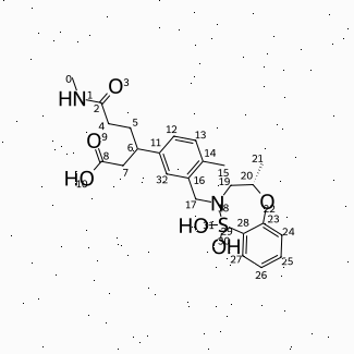 CNC(=O)CCC(CC(=O)O)c1ccc(C)c(CN2C[C@H](C)Oc3ccccc3S2(O)O)c1